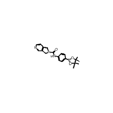 CC1(C)OB(c2ccc(NC(=O)N3Cc4ccncc4C3)cc2)OC1(C)C